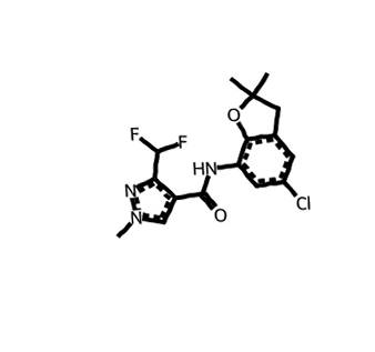 Cn1cc(C(=O)Nc2cc(Cl)cc3c2OC(C)(C)C3)c(C(F)F)n1